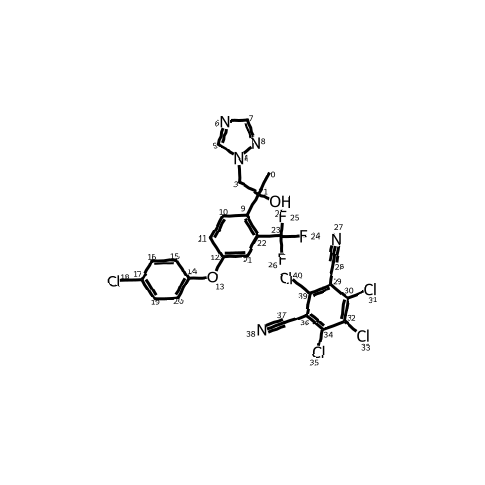 CC(O)(Cn1cncn1)c1ccc(Oc2ccc(Cl)cc2)cc1C(F)(F)F.N#Cc1c(Cl)c(Cl)c(Cl)c(C#N)c1Cl